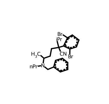 CCCN(Cc1ccccc1)C(C)CCC(C#N)(c1c(Br)cccc1Br)C(C)C